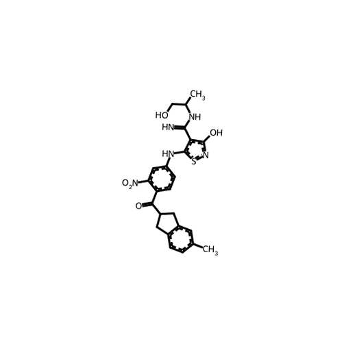 Cc1ccc2c(c1)CC(C(=O)c1ccc(Nc3snc(O)c3C(=N)NC(C)CO)cc1[N+](=O)[O-])C2